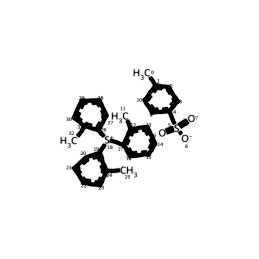 Cc1ccc(S(=O)(=O)[O-])cc1.Cc1ccccc1[S+](c1ccccc1C)c1ccccc1C